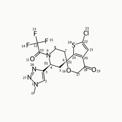 Cn1cc([C@@H]2C[C@]3(CCN2C(=O)C(F)(F)F)OCC(=O)c2cc(Cl)sc23)nn1